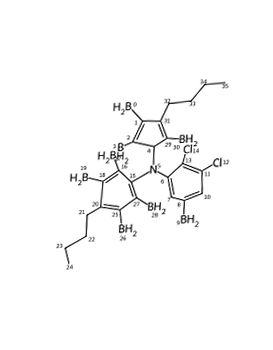 BC1=C(B)C(N(c2cc(B)cc(Cl)c2Cl)c2c(B)c(B)c(CCCC)c(B)c2B)C(B)=C1CCCC